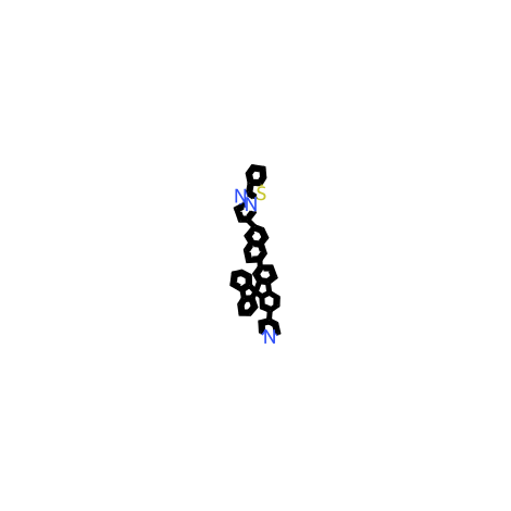 C1=CC2c3ccc(-c4ccc5cc(-c6ccc7nc8c9ccccc9sc8n7c6)ccc5c4)cc3C3(c4ccccc4-c4ccccc43)C2C=C1c1ccncc1